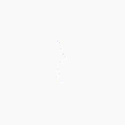 CCCCCCCCCC(c1ccc(C(C)c2ccc(N)cc2C)cc1)(c1ccc(C(C)c2ccc(N)cc2C)cc1)C1CCCCC1